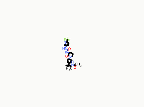 CC(=O)NC(C)C1(c2ccc(N3CCCC(NC(=O)Nc4ccc(C(F)(F)F)nc4)C3=O)cc2)CC1